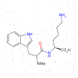 CNC(Cc1c[nH]c2ccccc12)C(=O)N[C@@H](CCCCN)C(=O)O